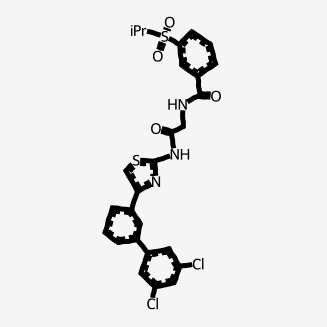 CC(C)S(=O)(=O)c1cccc(C(=O)NCC(=O)Nc2nc(-c3cccc(-c4cc(Cl)cc(Cl)c4)c3)cs2)c1